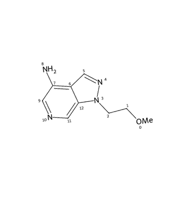 COCCn1ncc2c(N)cncc21